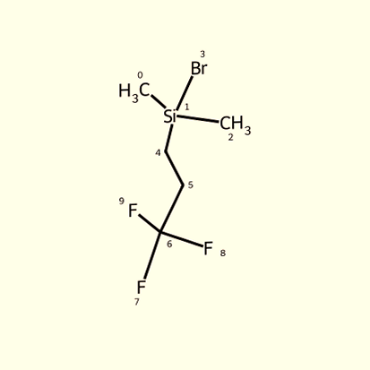 C[Si](C)(Br)CCC(F)(F)F